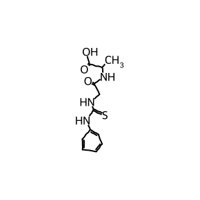 CC(NC(=O)CNC(=S)Nc1ccccc1)C(=O)O